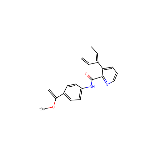 C=C/C(=C\C)c1cccnc1C(=O)Nc1ccc(C(=C)OC(C)(C)C)cc1